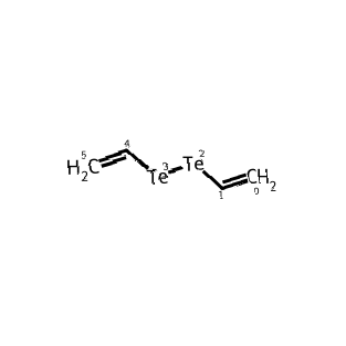 C=C[Te][Te]C=C